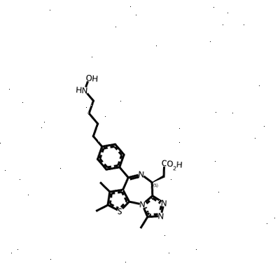 Cc1sc2c(c1C)C(c1ccc(CCCCNO)cc1)=N[C@@H](CC(=O)O)c1nnc(C)n1-2